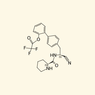 N#C[C@H](Cc1ccc(-c2ccccc2OC(=O)C(F)(F)F)cc1)NC(=O)[C@@H]1CCCCN1